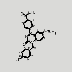 COc1ccc2c(c1)c(-c1ccc(C(C)C)cc1)nc(=O)n2Cc1ccc(F)cc1